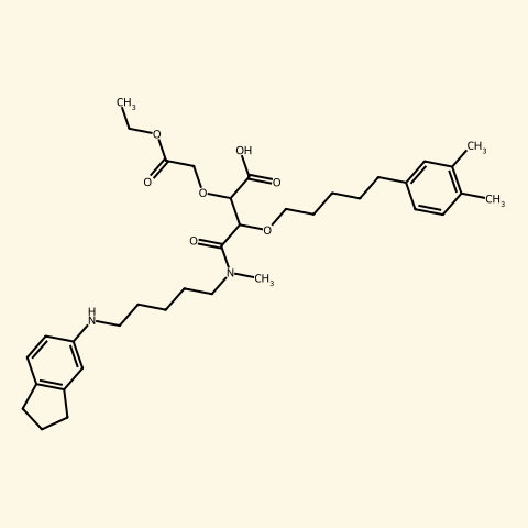 CCOC(=O)COC(C(=O)O)C(OCCCCCc1ccc(C)c(C)c1)C(=O)N(C)CCCCCNc1ccc2c(c1)CCC2